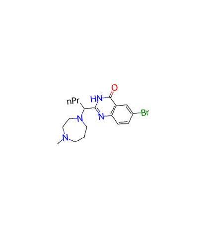 CCCC(c1nc2ccc(Br)cc2c(=O)[nH]1)N1CCCN(C)CC1